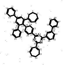 C1=CCCCC(c2cc(C3C=CC=CC3)cc(-c3ccccc3)c2C2C=CC(c3nc(C4=CCCCC=C4)nc(-c4cccc(-c5ccccc5)c4)n3)=CC2)=C1